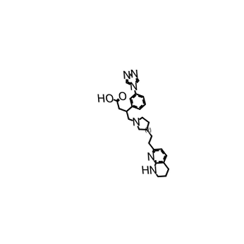 O=C(O)CC(CN1CC[C@@H](CCc2ccc3c(n2)NCCC3)C1)c1cccc(-n2cnnc2)c1